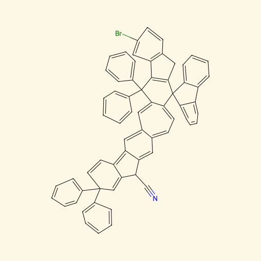 N#CC1C2=CC(c3ccccc3)(c3ccccc3)C=CC2=c2cc3c(cc21)=CC=C1C(=C3)C(c2ccccc2)(c2ccccc2)C2=C(Cc3ccc(Br)cc32)C12c1ccccc1-c1ccccc12